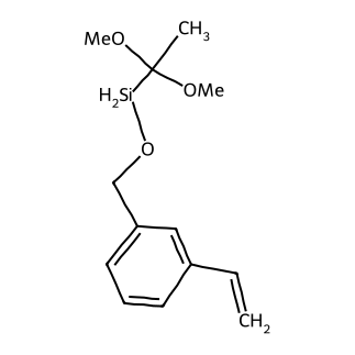 C=Cc1cccc(CO[SiH2]C(C)(OC)OC)c1